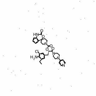 CCc1cc(C[C@@H](OC(=O)N2CCC3(CC2)OC(=O)Nc2ccccc23)C(=O)N2CCN(c3ccncc3)CC2)cc(Cl)c1N